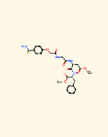 CC(C)(C)OC(=O)C[C@H](NC(=O)CNC(=O)COc1ccc(C(N)=S)cc1)C(=O)N[C@@H](Cc1ccccc1)C(=O)OC(C)(C)C